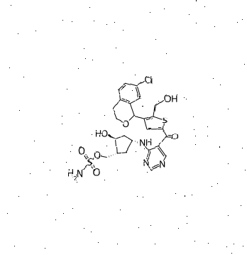 NS(=O)(=O)OC[C@H]1C[C@@H](Nc2ncncc2C(=O)c2cc(C3OCCc4ccc(Cl)cc43)c(CO)s2)C[C@@H]1O